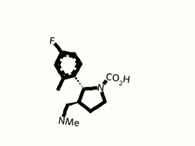 CNC[C@@H]1CCN(C(=O)O)[C@H]1c1ccc(F)cc1C